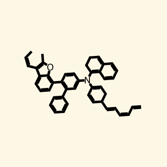 C=C/C=C\C=C\C1C=CC(N(C2=c3ccccc3=CCC2)c2ccc(-c3cccc4c(/C=C\C)c(C)oc34)c(-c3ccccc3)c2)=CC1